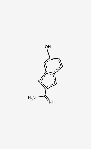 N=C(N)c1cc2ccc(O)cc2s1